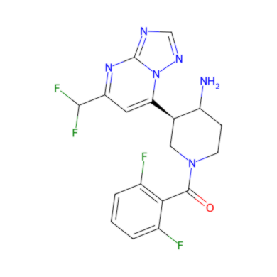 NC1CCN(C(=O)c2c(F)cccc2F)C[C@H]1c1cc(C(F)F)nc2ncnn12